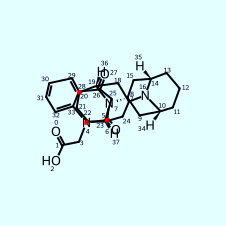 O=C(O)Cn1c(=O)n([C@H]2C[C@H]3CCC[C@@H](C2)N3C2C[C@H]3CCC[C@@H](C2)C3)c(=O)c2ccccc21